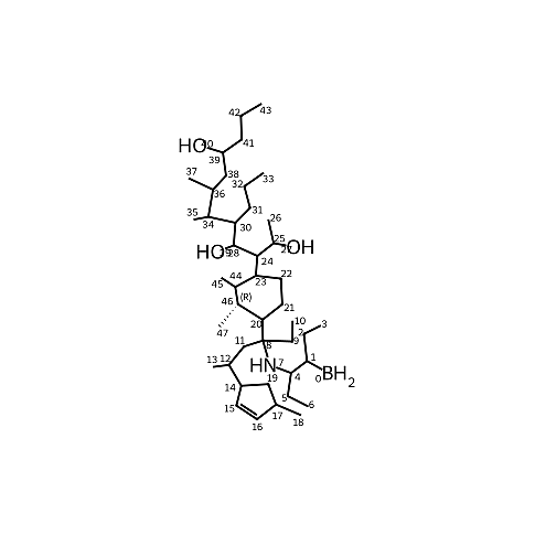 BC(CC)C(CC)NC(CC)(CC(C)C1C=CC(C)C1)C1CCC(C(C(C)O)C(O)C(CCC)C(C)C(C)CC(O)CCC)C(C)[C@H]1C